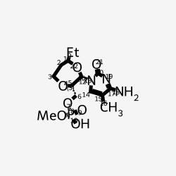 CCC1CCO[C@@H](COP(=O)(O)OC)[C@H](n2cc(C)c(N)nc2=O)O1